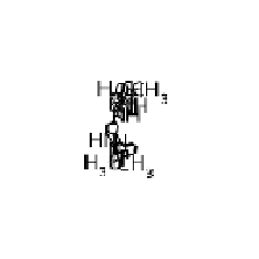 CC(C)C[C@H](NC(=O)NC[C@H]1CC[C@@H](Nc2nc(N(C)C)c3ccccc3n2)CC1)C(=O)O